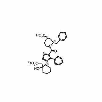 CCOC(=O)CC1(O)CCCC[C@@H]1n1cnc(C(=O)N2CCN(C(=O)O)C[C@H]2Cc2ccccc2)c1-c1ccccc1